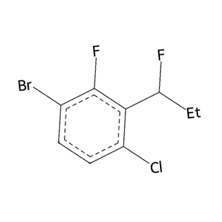 CCC(F)c1c(Cl)ccc(Br)c1F